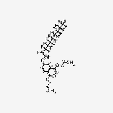 C=CCOC(=O)c1ccc(OC(F)=C(F)C(F)(F)C(F)(F)C(F)(F)C(F)(F)C(F)(F)C(F)(F)C(F)(F)C(F)(F)F)cc1C(=O)OCC=C